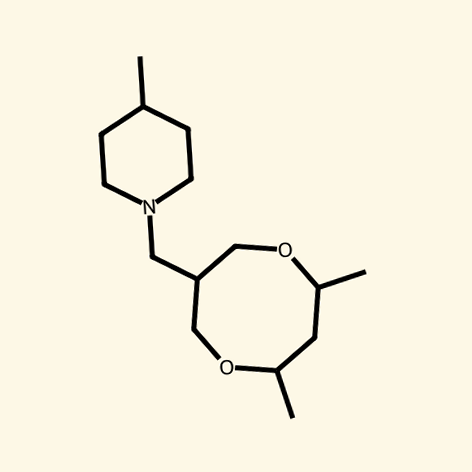 CC1CCN(CC2COC(C)CC(C)OC2)CC1